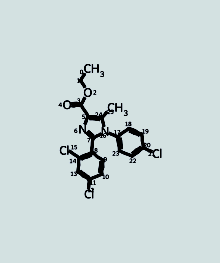 CCOC(=O)c1nc(-c2ccc(Cl)cc2Cl)n(-c2ccc(Cl)cc2)c1C